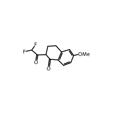 COc1ccc2c(c1)CCC(C(=O)C(F)F)C2=O